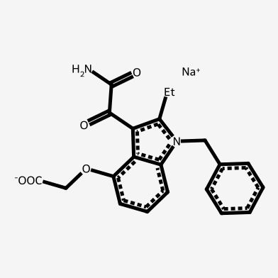 CCc1c(C(=O)C(N)=O)c2c(OCC(=O)[O-])cccc2n1Cc1ccccc1.[Na+]